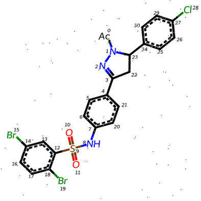 CC(=O)N1N=C(c2ccc(NS(=O)(=O)c3cc(Br)ccc3Br)cc2)CC1c1ccc(Cl)cc1